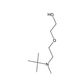 CN(CCOCCO)C(C)(C)C